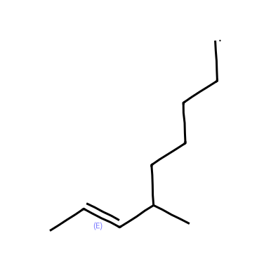 [CH2]CCCCC(C)/C=C/C